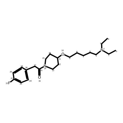 CCN(CC)CCCCCOC1CCN(C(=O)Cc2ccc(F)cc2)CC1